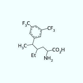 CCC(CC(N)C(=O)O)C(C)c1cc(C(F)(F)F)cc(C(F)(F)F)c1